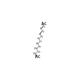 CC(=O)C=CC=CCCCCCCCCC(C)=O